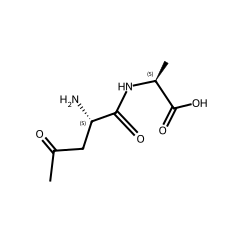 CC(=O)C[C@H](N)C(=O)N[C@@H](C)C(=O)O